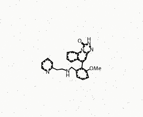 COc1cccc(CNCCc2ccccn2)c1-c1cc2n[nH]c(=O)n2c2ccccc12